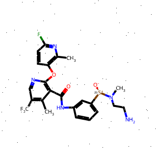 Cc1nc(F)ccc1Oc1ncc(C(F)(F)F)c(C)c1C(=O)Nc1cccc([S@@+]([O-])N(C)CCN)c1